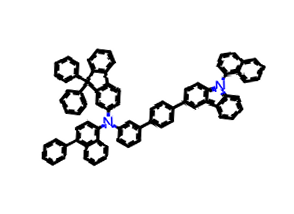 c1ccc(-c2ccc(N(c3cccc(-c4ccc(-c5ccc6c(c5)c5ccccc5n6-c5cccc6ccccc56)cc4)c3)c3ccc4c(c3)C(c3ccccc3)(c3ccccc3)c3ccccc3-4)c3ccccc23)cc1